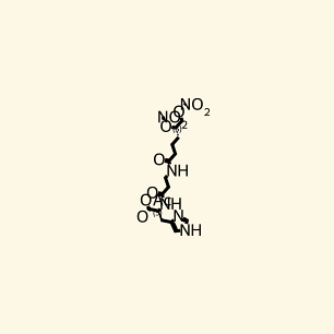 CC(=O)OC(=O)[C@H](Cc1c[nH]cn1)NC(=O)CCNC(=O)CCC[C@@H](CO[N+](=O)[O-])O[N+](=O)[O-]